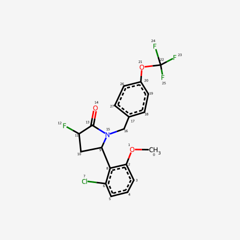 COc1cccc(Cl)c1C1CC(F)C(=O)N1Cc1ccc(OC(F)(F)F)cc1